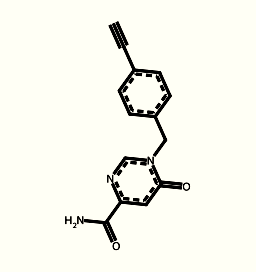 C#Cc1ccc(Cn2cnc(C(N)=O)cc2=O)cc1